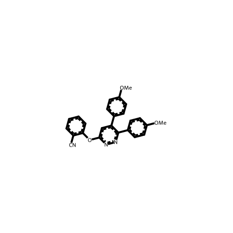 COc1ccc(-c2cc(Oc3ccccc3C#N)nnc2-c2ccc(OC)cc2)cc1